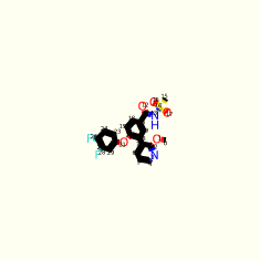 COc1ncccc1-c1cc(C(=O)NS(C)(=O)=O)ccc1Oc1ccc(F)c(F)c1